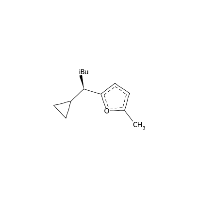 CCC(C)[C@@H](c1ccc(C)o1)C1CC1